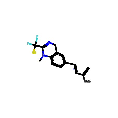 C=C(/C=C/c1ccc2c(c1)CN=C(C(F)(F)S)N2C)NC